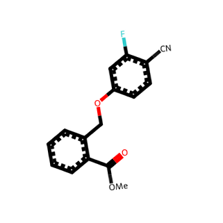 COC(=O)c1ccccc1COc1ccc(C#N)c(F)c1